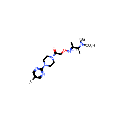 C/C(=N\OCC(=O)N1CCN(c2ncc(C(F)(F)F)cn2)CC1)[C@H](C)N(C(=O)O)C(C)(C)C